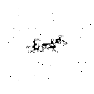 CC(=O)OC[C@H]1O[C@H](n2cc(Cn3c(=O)c(C)cn([C@H]4C[C@@H](O)C(CO)O4)c3=O)nn2)C(OC(C)=O)C(OC(C)=O)C1OC(C)=O